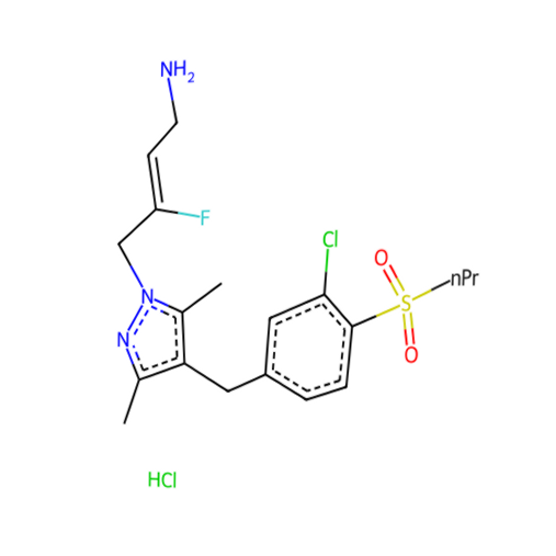 CCCS(=O)(=O)c1ccc(Cc2c(C)nn(C/C(F)=C/CN)c2C)cc1Cl.Cl